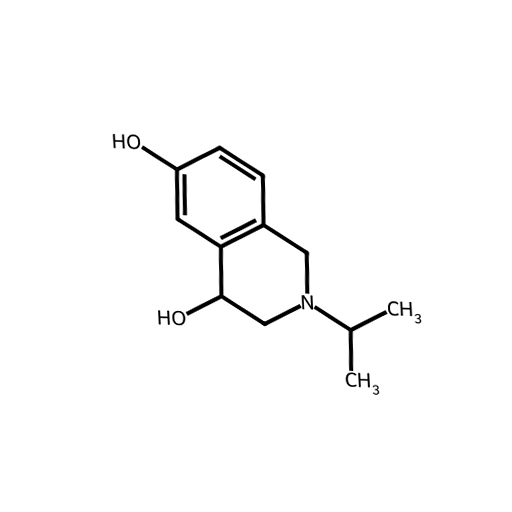 CC(C)N1Cc2ccc(O)cc2C(O)C1